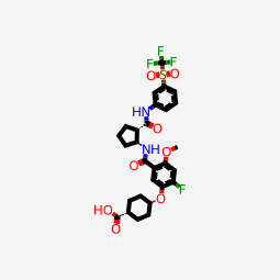 COc1cc(F)c(O[C@H]2CC[C@@H](C(=O)O)CC2)cc1C(=O)N[C@@H]1CCC[C@@H]1C(=O)Nc1cccc(S(=O)(=O)C(F)(F)F)c1